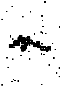 N#Cc1ccc(-n2cnc3cc(C(=O)COCCOC(=O)CCC(=O)O)c(NC4CCOCC4)nc32)nc1